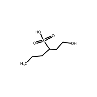 CCCC(CCO)S(=O)(=O)O